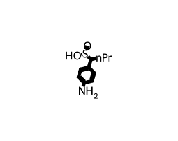 CCCC(c1ccc(N)cc1)S(=O)O